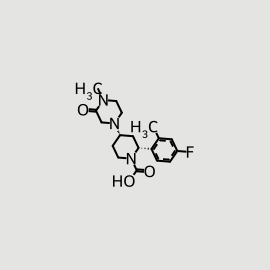 Cc1cc(F)ccc1[C@H]1C[C@@H](N2CCN(C)C(=O)C2)CCN1C(=O)O